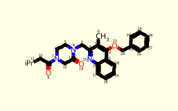 Cc1c(CN2CCN(C(=O)CC(C)C)CC2=O)nc2ccccc2c1OCc1ccccc1